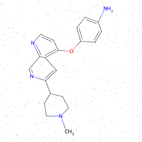 CN1CCC(c2cc3c(Oc4ccc(N)cc4)ccnc3cn2)CC1